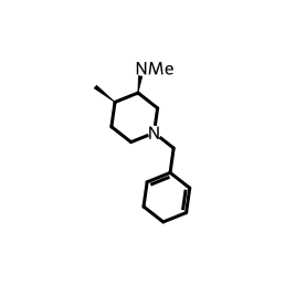 CN[C@H]1CN(CC2=CCCC=C2)CC[C@H]1C